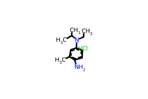 CCN(c1ccc(N)c(C)c1)C(C)C.Cl